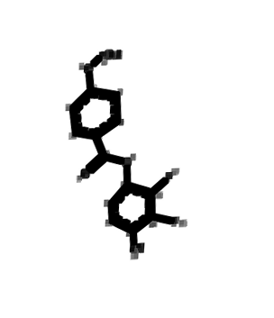 CCCCCCCCOc1ccc(C(=O)Oc2ccc(C#N)c(F)c2F)cc1